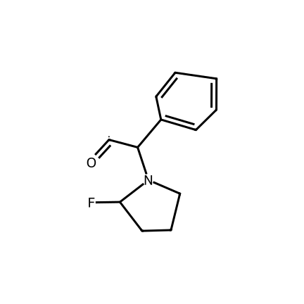 O=[C]C(c1ccccc1)N1CCCC1F